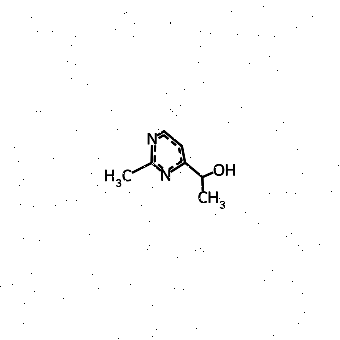 Cc1nccc(C(C)O)n1